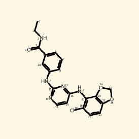 CCNC(=O)c1cccc(Nc2nccc(Nc3c(Cl)ccc4c3OCO4)n2)c1